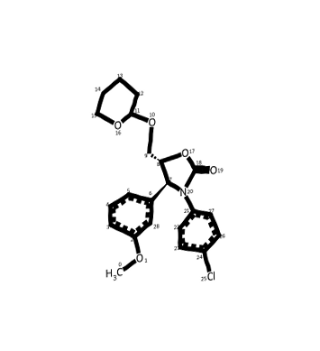 COc1cccc([C@H]2[C@H](COC3CCCCO3)OC(=O)N2c2ccc(Cl)cc2)c1